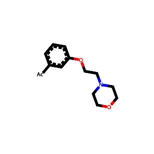 CC(=O)c1cccc(OCCN2CCOCC2)c1